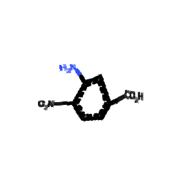 Nc1cc(C(=O)O)ccc1[N+](=O)[O-]